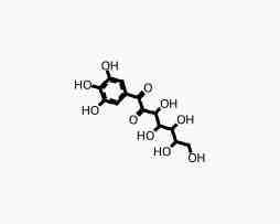 O=C(C(=O)C(O)C(O)C(O)C(O)CO)c1cc(O)c(O)c(O)c1